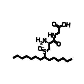 CCCCCCCC(CCCCCC)[S+]([O-])C[C@H](N)C(=O)NCC(=O)O